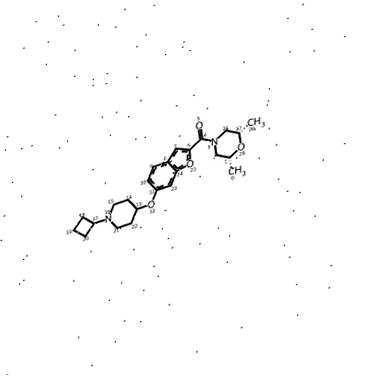 C[C@@H]1CN(C(=O)c2cc3ccc(OC4CCN(C5CCC5)CC4)cc3o2)C[C@H](C)O1